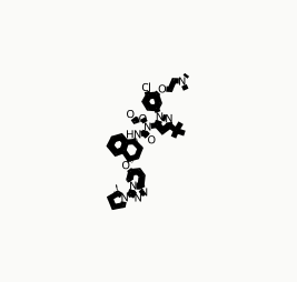 C[C@H]1CCCN1c1nnc2ccc(O[C@@H]3CC[C@H](NC(=O)N(OC=O)c4cc(C(C)(C)C)nn4-c4ccc(Cl)c(OCCN(C)C)c4)c4ccccc43)cn12